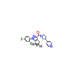 O=C(c1nn(-c2ccc(F)cc2F)c2c1C[C@H]1C[C@@H]21)N1CCC(c2ccncc2)C1